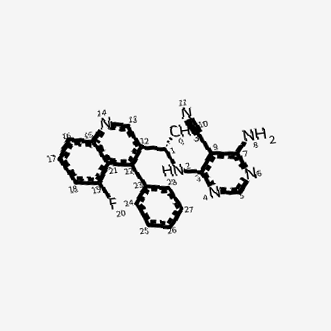 C[C@H](Nc1ncnc(N)c1C#N)c1cnc2cccc(F)c2c1-c1ccccc1